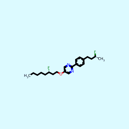 CCCCC[C@H](F)CCOc1cnc(-c2ccc(CC[C@@H](C)F)cc2)nc1